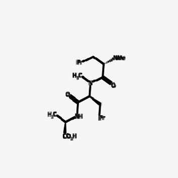 CN[C@@H](CC(C)C)C(=O)N(C)[C@@H](CC(C)C)C(=O)N[C@H](C)C(=O)O